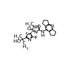 CNS(=O)(=NC(=O)Nc1c2c(nc3c1CCC3)CCC2)c1sc(C(C)(C)O)nc1F